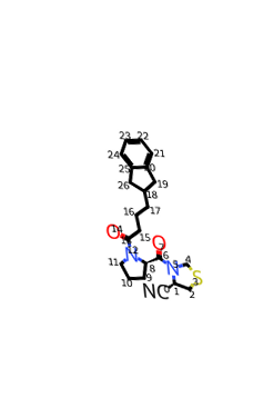 N#C[C@@H]1CSCN1C(=O)[C@H]1CCCN1C(=O)CCCC1Cc2ccccc2C1